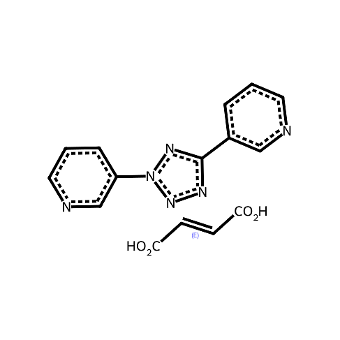 O=C(O)/C=C/C(=O)O.c1cncc(-c2nnn(-c3cccnc3)n2)c1